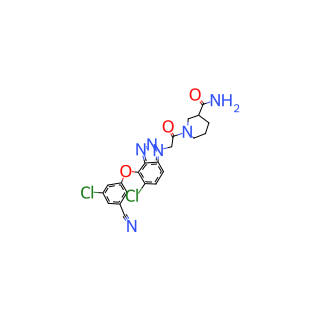 N#Cc1cc(Cl)cc(Oc2c(Cl)ccc3c2nnn3CC(=O)N2CCCC(C(N)=O)C2)c1